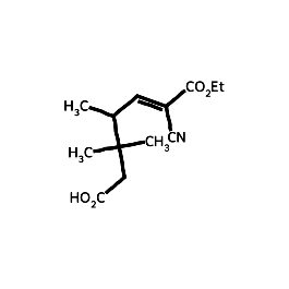 CCOC(=O)/C(C#N)=C/C(C)C(C)(C)CC(=O)O